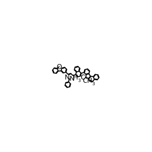 CC1(C)c2ccc3ccccc3c2-c2cccc(-c3ccc(-c4cc(-c5ccc6oc7ccccc7c6c5)nc(-c5ccccc5)n4)c4ccccc34)c21